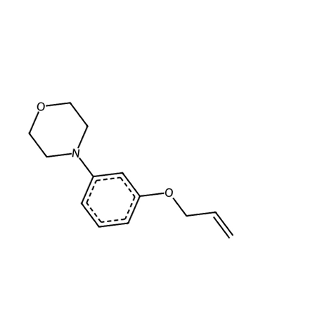 C=CCOc1cccc(N2CCOCC2)c1